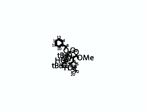 COC(=O)[C@@H](NC(=O)OCc1ccccc1)[C@@H](C)C(O[Si](C)(C)C)[PH](O)(OC(C)(C)C)OC(C)(C)C